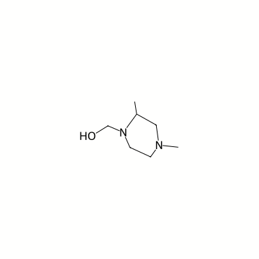 CC1CN(C)CCN1CO